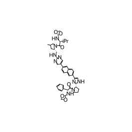 CC1C[C@@H](CNc2ncc(-c3ccc4cc(-c5c[nH]c([C@@H]6CCCN6C(=O)[C@H](NC6OCO6)c6ccccc6)n5)ccc4c3)cn2)N(C(=O)[C@@H](NC2OCO2)C(C)C)C1